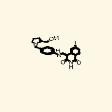 O=C1NC(=O)c2ccc(I)cc2C1=CNc1ccc(CN2CCCC2CO)cc1